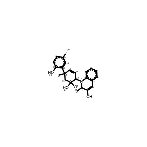 CC1C(O)=Cc2ccccc2N1C1C=CC(C)(c2cc(F)ccc2O)CC1(O)C(F)(F)F